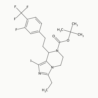 CCc1nc(I)c2n1CCN(C(=O)OC(C)(C)C)C2CCc1ccc(C(F)(F)F)c(F)c1